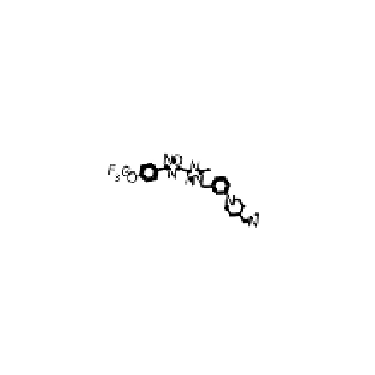 C/N=C\C1CCN(c2cccc(Cn3nc(-c4nc(-c5ccc(OC(F)(F)F)cc5)no4)nc3C)c2)CC1